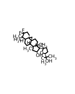 CC(C)(O)[C@@H]1CC[C@@](C)([C@H]2[C@@H](O)C[C@@]3(C)[C@@H]4CC[C@H]5C(C)(C)C(F)(F)CC[C@@]56C[C@@]46CC[C@]23C)O1